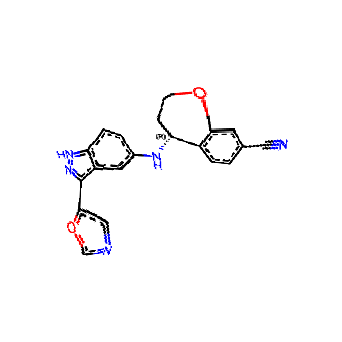 N#Cc1ccc2c(c1)OCC[C@H]2Nc1ccc2[nH]nc(-c3cnco3)c2c1